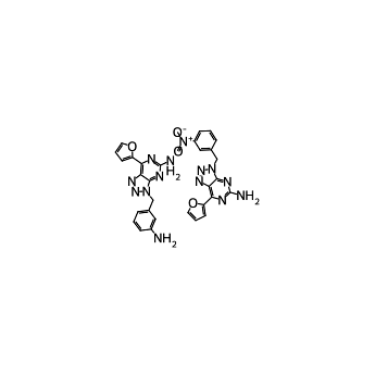 Nc1cccc(Cn2nnc3c(-c4ccco4)nc(N)nc32)c1.Nc1nc(-c2ccco2)c2nnn(Cc3cccc([N+](=O)[O-])c3)c2n1